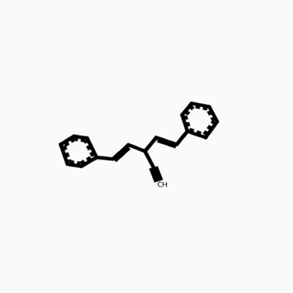 C#CC(C=Cc1ccccc1)C=Cc1ccccc1